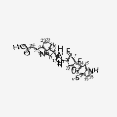 CSc1c(Oc2ccc(F)c(-c3ncc(C(C)(CC#N)c4cccc(C=CC(=O)O)c4)[nH]3)c2)c(F)cc2[nH]ccc12